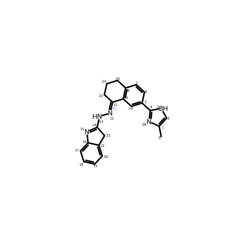 CC1=CBC(c2ccc3c(c2)/C(=N/NC2=Nc4ccccc4C2)CCC3)=N1